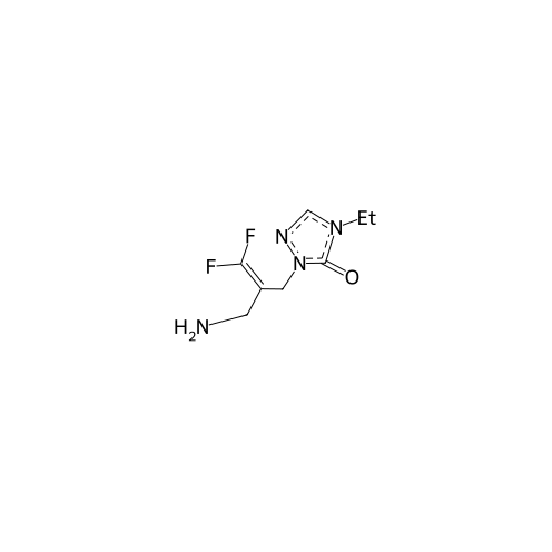 CCn1cnn(CC(CN)=C(F)F)c1=O